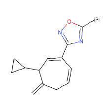 C=C1CC=CC(c2noc(C(C)C)n2)=CC1C1CC1